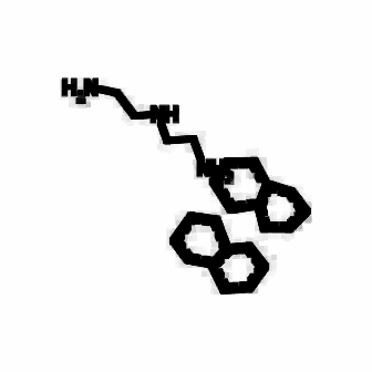 NCCNCCN.c1ccc2ccccc2c1.c1ccc2ccccc2c1